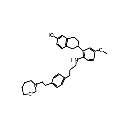 COc1ccc(NCCCc2ccc(CCN3CCCCCC3)cc2)c(C2CCc3cc(O)ccc3C2)c1